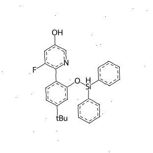 CC(C)(C)c1ccc(-c2ncc(O)cc2F)c(O[SiH](c2ccccc2)c2ccccc2)c1